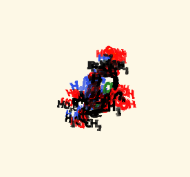 CN[C@H](CC(C)C)C(=O)N[C@H]1C(=O)N[C@@H](CC(N)=O)C(=O)N[C@H]2C(=O)N[C@H]3C(=O)N[C@H](C(=O)N[C@H](C(=O)O)c4cc(O)cc(O)c4-c4cc3ccc4O)[C@H](O[C@H]3C[C@](C)(N)[C@@H](O)[C@H](C)O3)c3ccc(c(Cl)c3)Oc3cc2cc(c3O[C@@H]2O[C@H](CO)[C@@H](O)[C@H](O)[C@H]2O[C@H]2C[C@](C)(N)[C@@H](O)[C@H](C)O2)Oc2ccc(cc2Cl)[C@H]1OC(=O)C(C)(C)CC(=O)NC(P(=O)(O)O)P(=O)(O)O